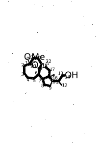 CO[C@@]12CCCCC3C4CC[C@H]([C@H](C)CO)[C@@]4(C)CC[C@]3(O1)[C@@H](C)CC2